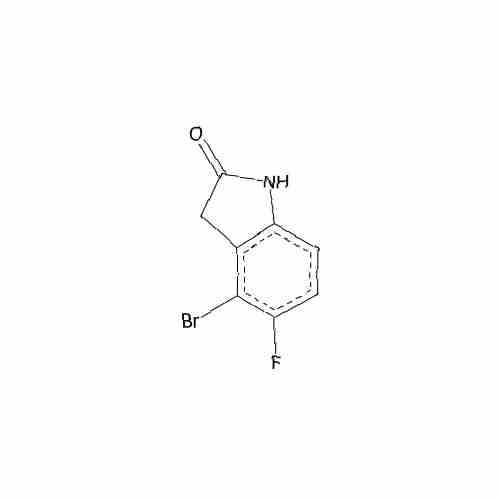 O=C1Cc2c(ccc(F)c2Br)N1